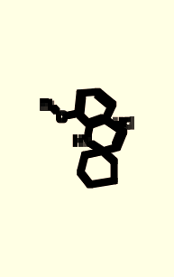 CCOc1cccc2c1NC1(C=C2)CCCCC1.Cl